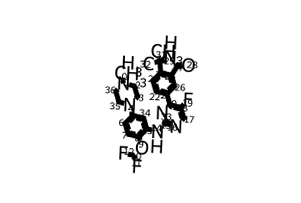 CN1CCN(c2ccc(OC(F)F)c(Nc3ncc(F)c(-c4ccc5c(c4)C(=O)NC5(C)C)n3)c2)CC1